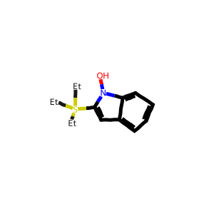 CCS(CC)(CC)c1cc2ccccc2n1O